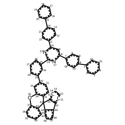 c1ccc(-c2ccc(-c3cc(-c4ccc(-c5ccccc5)cc4)nc(-c4cccc(-c5ccc6c(c5)Oc5ccccc5C65c6ccccc6-c6ccccc65)c4)n3)cc2)cc1